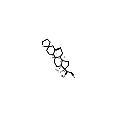 C=C(C=O)[C@@]1(O)CC[C@H]2[C@@H]3CC=C4CC5(CC[C@@H]4[C@H]3CC[C@@]21C)OCCO5